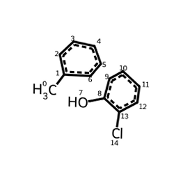 Cc1ccccc1.Oc1ccccc1Cl